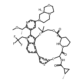 CO[C@@H](C)c1ncc(N2CCN3CCOC[C@@H]3C2)cc1-c1c2c3cc(ccc3n1CC(F)(F)F)-c1csc(n1)C[C@H](NC(=O)[C@H]1C[C@@H]1C)C(=O)N1CCC[C@H](N1)C(=O)OCC(C)(C)C2